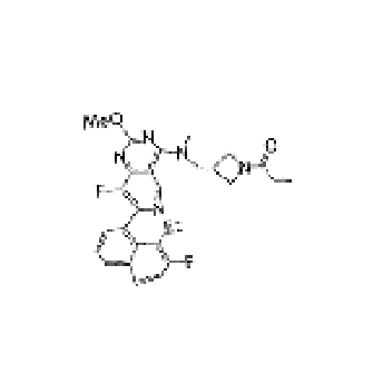 C=CC(=O)N1CC(CN(C)c2nc(OC)nc3c(F)c(-c4cccc5ccc(F)c(CC)c45)ncc23)C1